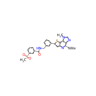 CNc1nc2cc(-c3cccc(CNC(=O)c4cccc(S(C)(=O)=O)c4)c3)sc2c2c1ncn2C